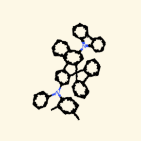 Cc1ccc(N(c2ccccc2)c2ccc3c(c2)C2(c4ccccc4-c4ccccc42)c2cc(-n4c5ccccc5c5ccccc54)c4ccccc4c2-3)c(C)c1